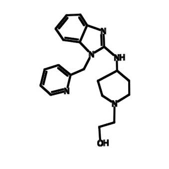 OCCN1CCC(Nc2nc3ccccc3n2Cc2ccccn2)CC1